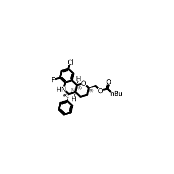 CCCCC(=O)OC[C@H]1CC[C@@H]2[C@H](O1)c1cc(Cl)cc(F)c1N[C@H]2c1ccccc1